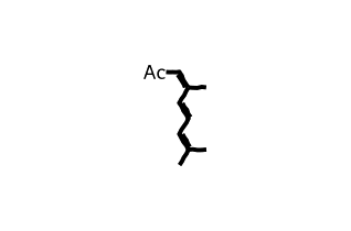 CC(=O)C=C(C)C=CC=C(C)C